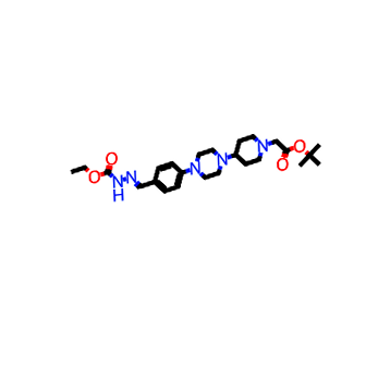 CCOC(=O)NN=Cc1ccc(N2CCN(C3CCN(CC(=O)OC(C)(C)C)CC3)CC2)cc1